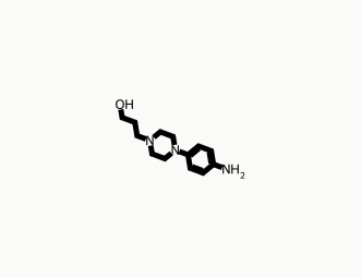 Nc1ccc(N2CCN(CCCO)CC2)cc1